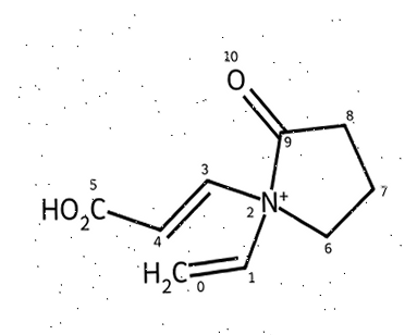 C=C[N+]1(C=CC(=O)O)CCCC1=O